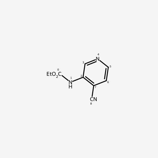 CCOC(=O)Nc1cnccc1C#N